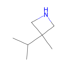 CC(C)C1(C)CNC1